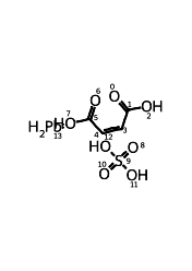 O=C(O)/C=C\C(=O)O.O=S(=O)(O)O.[PbH2]